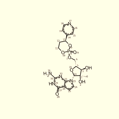 C[C@@]1(O)[C@H](O)[C@@H](CO[P@@]2(=O)OCC[C@@H](c3ccncc3)O2)O[C@H]1n1ccc2c(=O)[nH]c(N)nc21